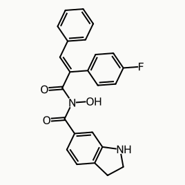 O=C(C(=Cc1ccccc1)c1ccc(F)cc1)N(O)C(=O)c1ccc2c(c1)NCC2